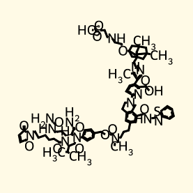 Cc1c(-c2ccc(N3CCc4cc(CCCN(C)C(=O)OCc5ccc(N(C(=O)[C@@H](NC(=O)CCCCCN6C(=O)C=CC6=O)C(C)C)[C@@H](CCCNC(N)=O)C(N)=O)cc5)cc(C(=O)Nc5nc6ccccc6s5)c4C3)nc2C(=O)O)cnn1CC12CC3(C)CC(C)(C1)CC(OCCNCCS(=O)(=O)O)(C3)C2